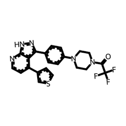 O=C(N1CCN(c2ccc(-c3n[nH]c4nccc(-c5ccsc5)c34)cc2)CC1)C(F)(F)F